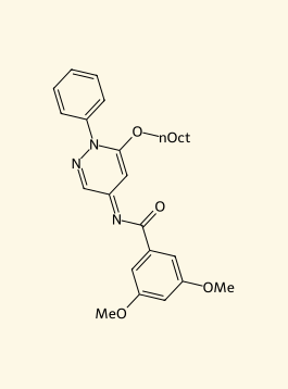 CCCCCCCCOc1c/c(=N\C(=O)c2cc(OC)cc(OC)c2)cnn1-c1ccccc1